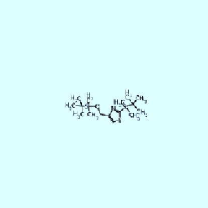 CC(C)(C)[Si](C)(C)OCc1csc([Si](C)(C)C(C)(C)C)n1